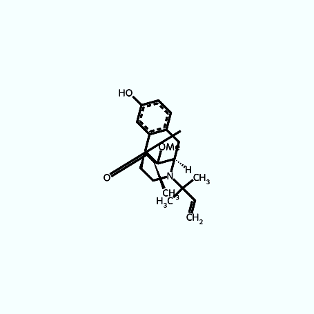 C=CC(C)(C)N1CC[C@]23CC(=O)C[C@@H](C)C2(OC)[C@H]1Cc1ccc(O)cc13